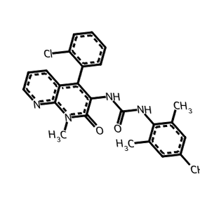 Cc1cc(C)c(NC(=O)Nc2c(-c3ccccc3Cl)c3cccnc3n(C)c2=O)c(C)c1